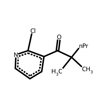 CCCC(C)(C)C(=O)c1cccnc1Cl